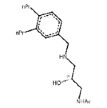 CCCc1ccc(CNC[C@@H](O)CNC(C)=O)cc1CCC